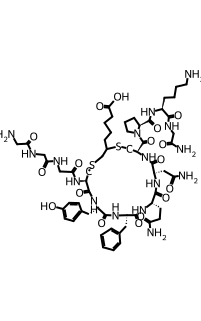 NCCCC[C@H](NC(=O)[C@@H]1CCCN1C(=O)[C@@H]1CSC(CCCCC(=O)O)CSC[C@H](NC(=O)CNC(=O)CNC(=O)CN)C(=O)N[C@@H](Cc2ccc(O)cc2)C(=O)N[C@@H](Cc2ccccc2)C(=O)N[C@@H](CCC(N)=O)C(=O)N[C@@H](CC(N)=O)C(=O)N1)C(=O)NCC(N)=O